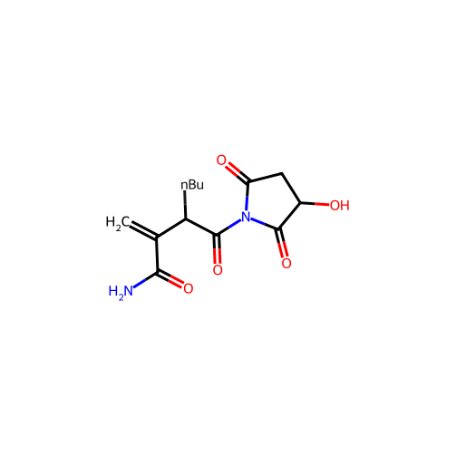 C=C(C(N)=O)C(CCCC)C(=O)N1C(=O)CC(O)C1=O